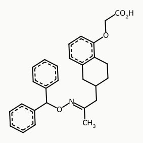 CC(CC1CCc2c(cccc2OCC(=O)O)C1)=NOC(c1ccccc1)c1ccccc1